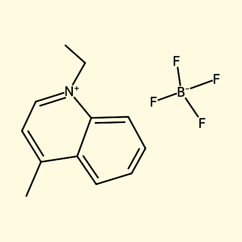 CC[n+]1ccc(C)c2ccccc21.F[B-](F)(F)F